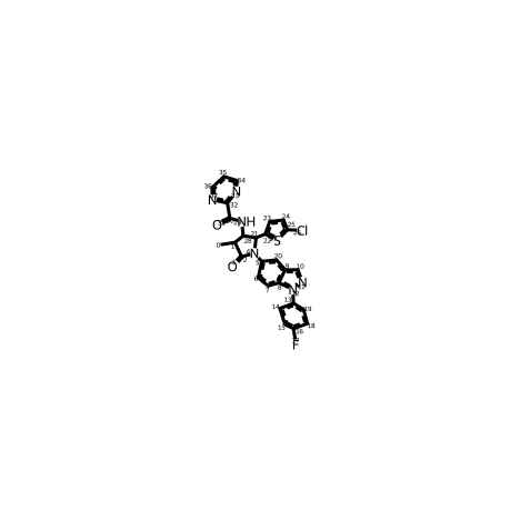 CC1C(=O)N(c2ccc3c(cnn3-c3ccc(F)cc3)c2)C(c2ccc(Cl)s2)C1NC(=O)c1ncccn1